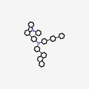 c1ccc(-c2ccc(-c3ccc(N(c4ccc(-c5cccc6c7ccccc7n(-c7ccccc7)c56)cc4)c4cccc(-c5cccc6c5ccc5ccccc56)c4)cc3)cc2)cc1